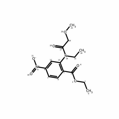 CCOC(=O)c1ccc([N+](=O)[O-])cc1N(CC)C(=O)COC